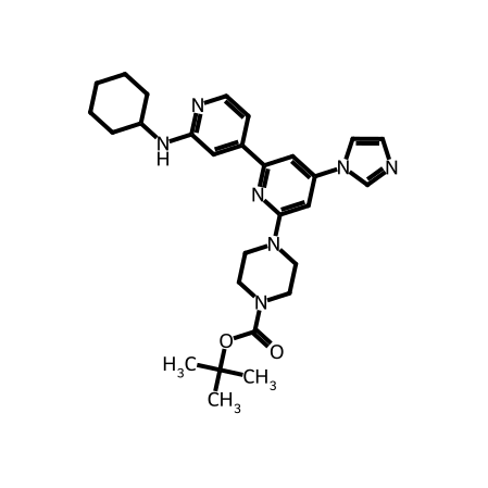 CC(C)(C)OC(=O)N1CCN(c2cc(-n3ccnc3)cc(-c3ccnc(NC4CCCCC4)c3)n2)CC1